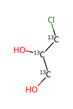 O[13CH2][13CH](O)[13CH2]Cl